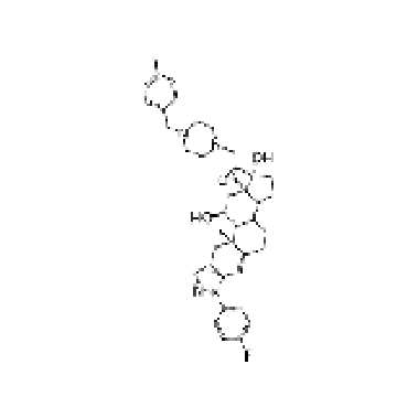 Cc1ccc(CN2CCN(CC(=O)[C@@]3(O)CCC4C5CCC6=Cc7c(cnn7-c7ccc(F)cc7)C[C@]6(C)C5[C@@H](O)C[C@@]43C)CC2)cc1